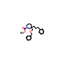 CC(C)(C)OC(=O)N1CCCC(CCCc2ccccc2)(COCc2ccccc2)C1